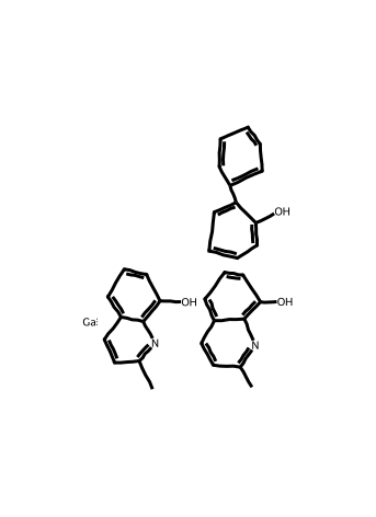 Cc1ccc2cccc(O)c2n1.Cc1ccc2cccc(O)c2n1.Oc1ccccc1-c1ccccc1.[Ga]